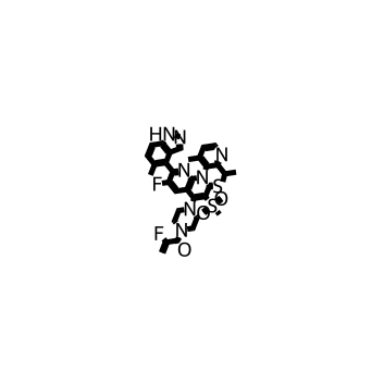 C=C(F)C(=O)N1CCN(c2c(S(C)(=O)=O)c(=S)n(-c3c(C)ccnc3C(C)C)c3nc(-c4c(C)ccc5[nH]ncc45)c(F)cc23)CC1